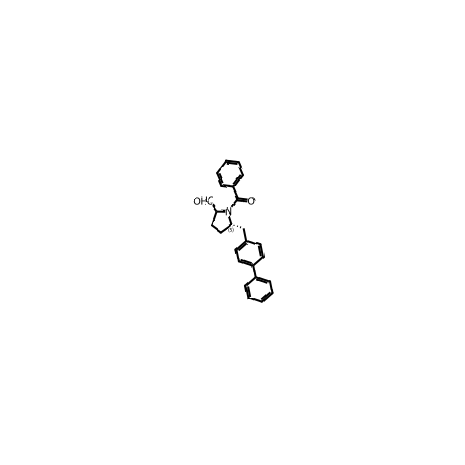 O=CC1CC[C@@H](Cc2ccc(-c3ccccc3)cc2)N1C(=O)c1ccccc1